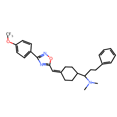 CN(C)C(CCc1ccccc1)C1CCC(=Cc2nc(-c3ccc(OC(F)(F)F)cc3)no2)CC1